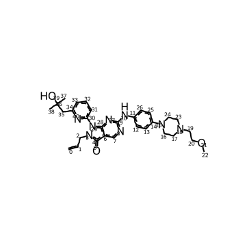 C=CCn1c(=O)c2cnc(Nc3ccc(N4CCN(CCOC)CC4)cc3)nc2n1-c1cccc(CC(C)(C)O)n1